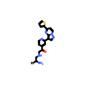 CCC(N)CNCC(=O)c1ccnc(-c2cnn3ccc(-c4cccs4)nc23)c1